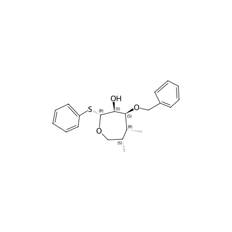 C[C@H]1[C@H](OCc2ccccc2)[C@H](O)[C@@H](Sc2ccccc2)OC[C@H]1C